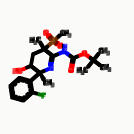 CC(C)(C)OC(=O)NC1=N[C@](C)(c2ccccc2F)C(O)CC1(C)S(C)(=O)=O